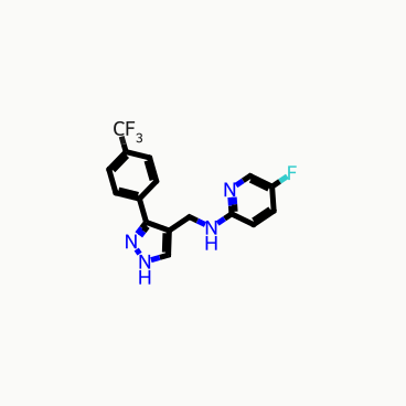 Fc1ccc(NCc2c[nH]nc2-c2ccc(C(F)(F)F)cc2)nc1